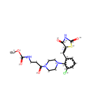 CC(C)(C)OC(=O)NCCC(=O)N1CCN(c2c(Cl)cccc2/C=C2\SC(=O)NC2=O)CC1